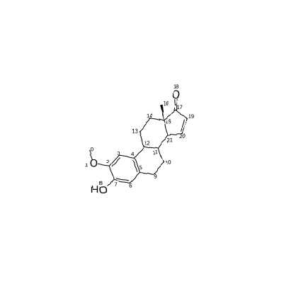 COc1cc2c(cc1O)CCC1C2CC[C@]2(C)C(=O)C=CC12